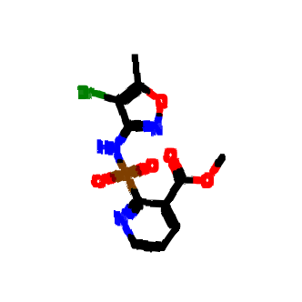 COC(=O)c1cccnc1S(=O)(=O)Nc1noc(C)c1Br